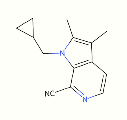 Cc1c(C)n(CC2CC2)c2c(C#N)nccc12